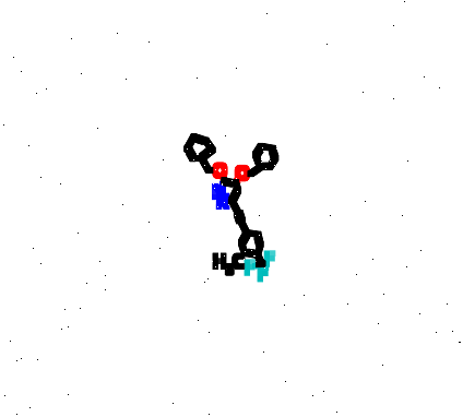 Cc1cc(C#Cc2cc(OCc3ccccc3)c(OCc3ccccc3)nn2)ccc1C(F)(F)F